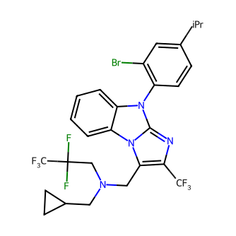 CC(C)c1ccc(-n2c3ccccc3n3c(CN(CC4CC4)CC(F)(F)C(F)(F)F)c(C(F)(F)F)nc23)c(Br)c1